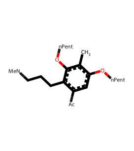 CCCCCOc1cc(C(C)=O)c(CCCNC)c(OCCCCC)c1C